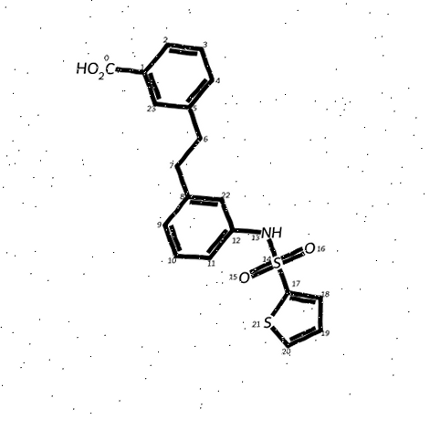 O=C(O)c1cccc(CCc2cccc(NS(=O)(=O)c3cccs3)c2)c1